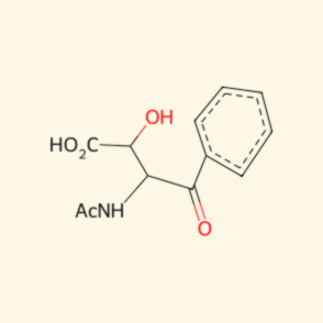 CC(=O)NC(C(=O)c1ccccc1)C(O)C(=O)O